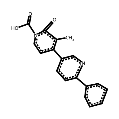 Cc1c(-c2ccc(-c3ccccc3)nc2)ccn(C(=O)O)c1=O